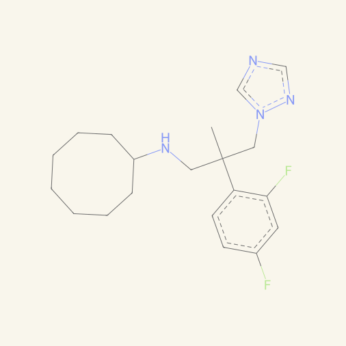 CC(CNC1CCCCCCC1)(Cn1cncn1)c1ccc(F)cc1F